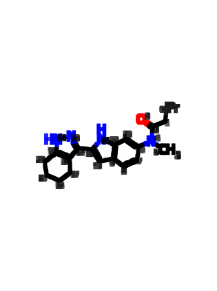 CC(C)CC(=O)N(C)c1ccc2cc(-c3n[nH]c4c3CCCC4)[nH]c2c1